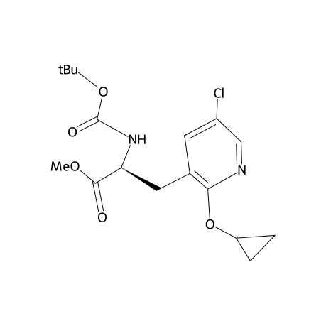 COC(=O)[C@H](Cc1cc(Cl)cnc1OC1CC1)NC(=O)OC(C)(C)C